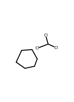 C1CCCCC1.ClC(Cl)Cl